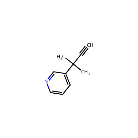 C#CC(C)(C)c1cccnc1